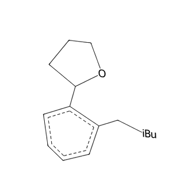 [CH2]CC(C)Cc1ccccc1C1CCCO1